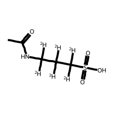 [2H]C([2H])(NC(C)=O)C([2H])([2H])C([2H])([2H])S(=O)(=O)O